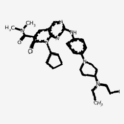 CCN(CCI)C1CCN(c2ccc(Nc3ncc4cc(C(=O)N(C)C)c(=O)n(C5CCCC5)c4n3)cc2)CC1